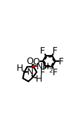 NC(=O)N1[C@@H]2CC[C@H]1C[C@H](Oc1c(F)c(F)c(F)c(F)c1F)C2